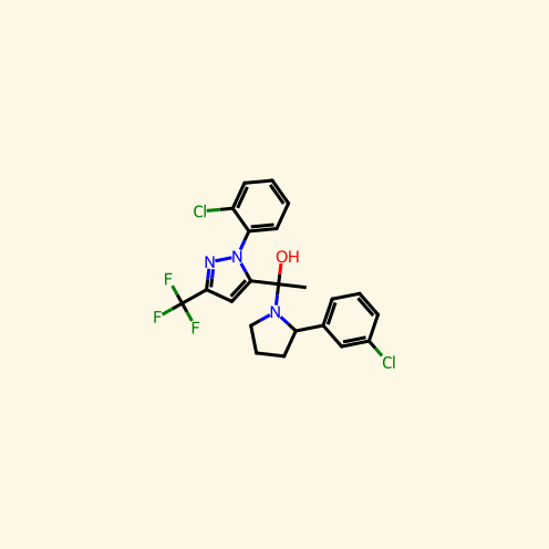 CC(O)(c1cc(C(F)(F)F)nn1-c1ccccc1Cl)N1CCCC1c1cccc(Cl)c1